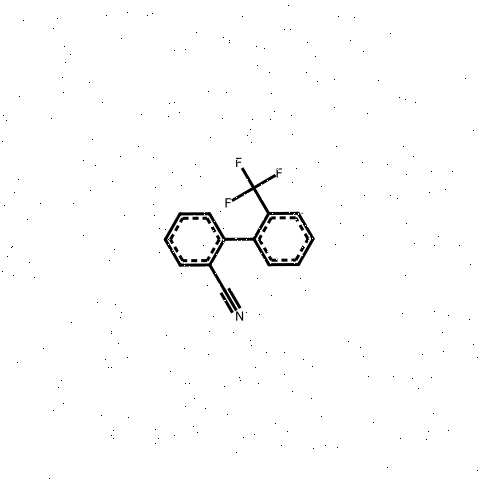 N#Cc1ccccc1-c1ccc[c]c1C(F)(F)F